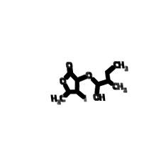 CCC(C)C(O)OC1C(=O)OC(C)C1I